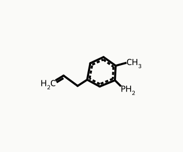 C=CCc1ccc(C)c(P)c1